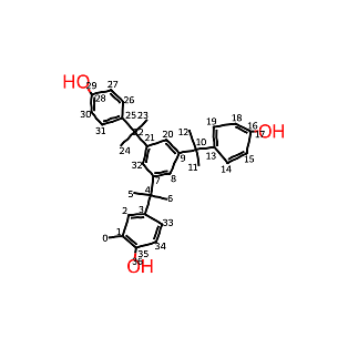 Cc1cc(C(C)(C)c2cc(C(C)(C)c3ccc(O)cc3)cc(C(C)(C)c3ccc(O)cc3)c2)ccc1O